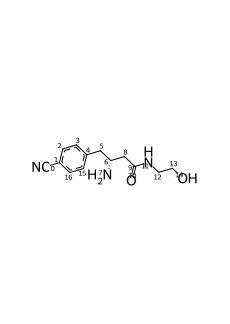 N#Cc1ccc(C[C@@H](N)CC(=O)NCCO)cc1